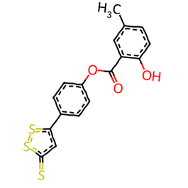 Cc1ccc(O)c(C(=O)Oc2ccc(-c3cc(=S)ss3)cc2)c1